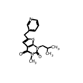 CC(C)Cn1c(=O)n(C)c(=O)c2cc(Cc3cccnc3)sc21